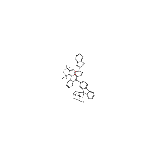 CC1(C)CCC(C)(C)c2c(-c3ccccc3N(c3ccc(-c4ccc5ccccc5c4)cc3)c3ccc4c(c3)C3(c5ccccc5-4)C4CC5CC6CC3C64C5)cccc21